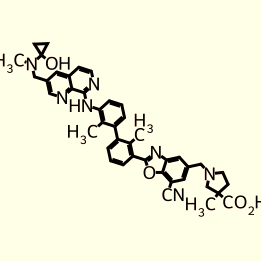 Cc1c(Nc2nccc3cc(CN(C)C4(O)CC4)cnc23)cccc1-c1cccc(-c2nc3cc(CN4CCC(C)(C(=O)O)C4)cc(C#N)c3o2)c1C